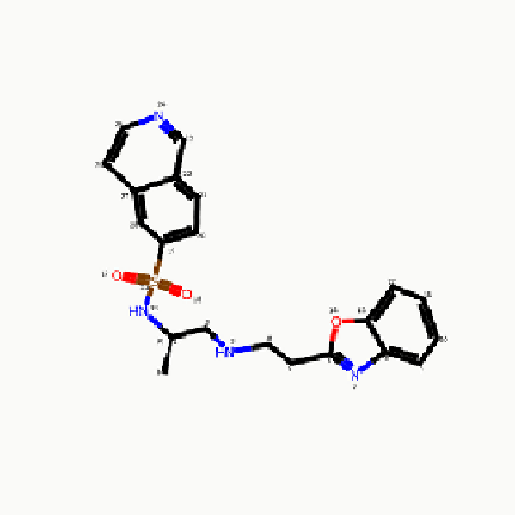 C[C@H](CNCCc1nc2ccccc2o1)NS(=O)(=O)c1ccc2cnccc2c1